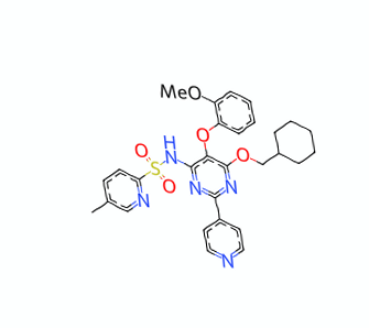 COc1ccccc1Oc1c(NS(=O)(=O)c2ccc(C)cn2)nc(-c2ccncc2)nc1OCC1CCCCC1